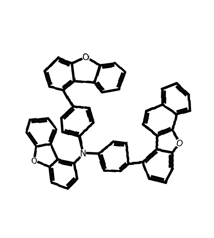 c1ccc2c(c1)ccc1c2oc2cccc(-c3ccc(N(c4ccc(-c5cccc6oc7ccccc7c56)cc4)c4cccc5oc6ccccc6c45)cc3)c21